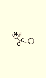 O=C(OCc1ccccc1)c1cnnn1I